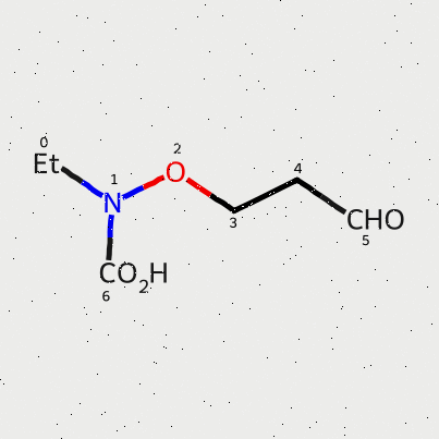 CCN(OCCC=O)C(=O)O